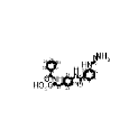 NN=CNc1cccc(C(=O)Nc2ccc(CC(NC(=O)c3ccccc3)C(=O)O)cc2)c1